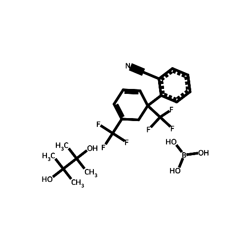 CC(C)(O)C(C)(C)O.N#Cc1ccccc1C1(C(F)(F)F)C=CC=C(C(F)(F)F)C1.OB(O)O